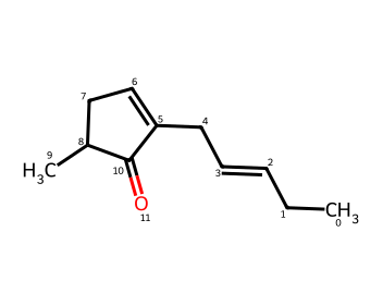 CCC=CCC1=CCC(C)C1=O